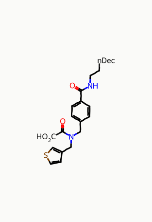 CCCCCCCCCCCCNC(=O)c1ccc(CN(Cc2ccsc2)C(=O)C(=O)O)cc1